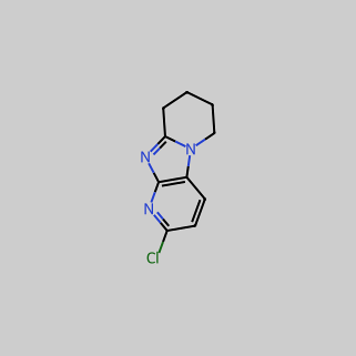 Clc1ccc2c(n1)nc1n2CCCC1